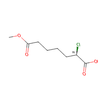 COC(=O)CCCC[C@@H](Cl)C(=O)O